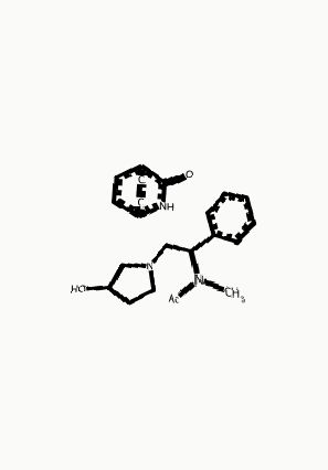 CC(=O)N(C)C(CN1CCC(O)C1)c1ccccc1.O=c1[nH]c2ccc1cc2